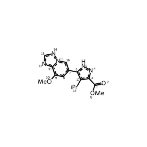 COC(=O)c1n[nH]c(-c2cc(OC)c3ncnn3c2)c1C(C)C